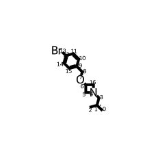 C[C](C)CN1CC(OCc2ccc(Br)cc2)C1